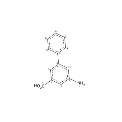 Nc1cc(C(=O)O)cc(-c2c[c]ccc2)c1